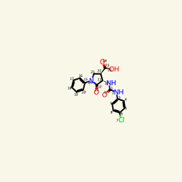 O=C(Nc1ccc(Cl)cc1)N[C@@H]1C(=O)N(c2ccccc2)C[C@H]1C(=O)O